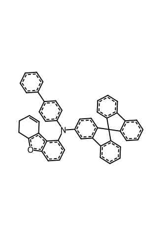 C1=Cc2c(oc3cccc(N(c4ccc(-c5ccccc5)cc4)c4ccc5c(c4)-c4ccccc4C54c5ccccc5-c5ccccc54)c23)CC1